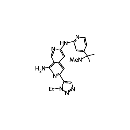 CCn1nncc1-c1cc2cc(Nc3cc(C(C)(C)NC)ccn3)ncc2c(N)n1